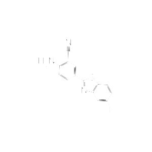 N#Cc1cc(-c2nc3cc(F)ccc3s2)ccc1N